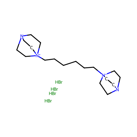 Br.Br.Br.Br.C(CCC[N+]12CCN(CC1)CC2)CC[N+]12CCN(CC1)CC2